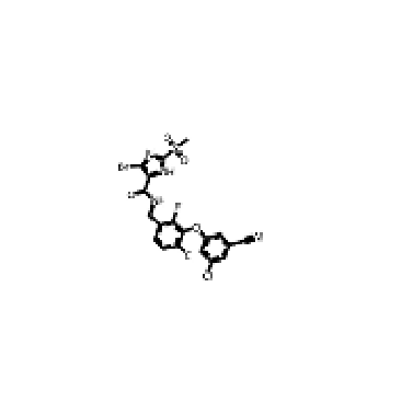 CS(=O)(=O)c1nc(Br)c(C(=O)NCc2ccc(Cl)c(Oc3cc(Cl)cc(C#N)c3)c2F)[nH]1